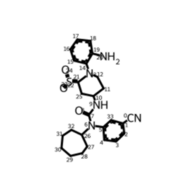 N#Cc1cccc(N(C(=O)NC2CCN(c3ccccc3N)C(=S(=O)=O)C2)C2CCCCCC2)c1